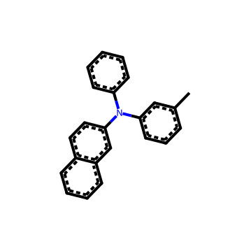 Cc1cccc(N(c2ccccc2)c2ccc3ccccc3c2)c1